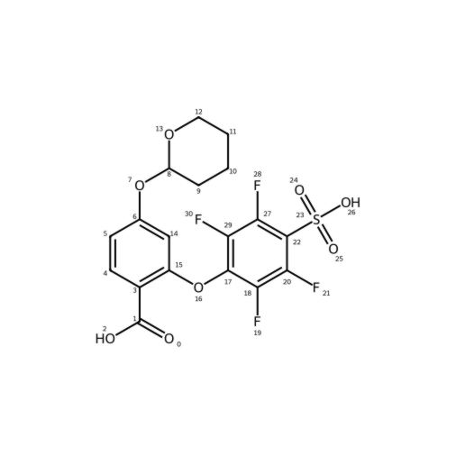 O=C(O)c1ccc(OC2CCCCO2)cc1Oc1c(F)c(F)c(S(=O)(=O)O)c(F)c1F